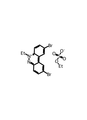 CCOS(=O)(=O)[O-].CC[n+]1nc2ccc(Br)cc2c2cc(Br)ccc21